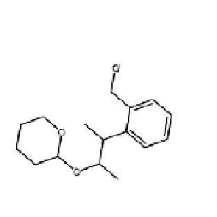 CC(OC1CCCCO1)C(C)c1ccccc1CCl